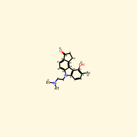 CCN(CC)CCn1c2ccc(C(C)=O)c(O)c2c2c3c(ccc21)C(=O)CC3